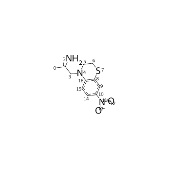 CC(N)CN1CCSc2cc([N+](=O)[O-])ccc21